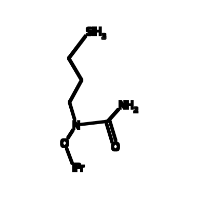 CC(C)ON(CCC[SiH3])C(N)=O